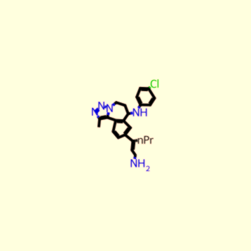 CCC/C(=C\CN)c1ccc2c(c1)C(Nc1ccc(Cl)cc1)CCn1nnc(C)c1-2